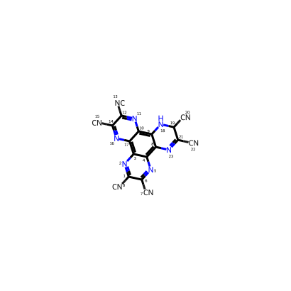 [C-]#[N+]c1nc2c(nc1C#N)c1c(c3nc([N+]#[C-])c([N+]#[C-])nc32)NC(C#N)C(C#N)=N1